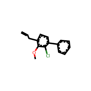 C=[C]Cc1ccc(-c2ccccc2)c(Cl)c1OC